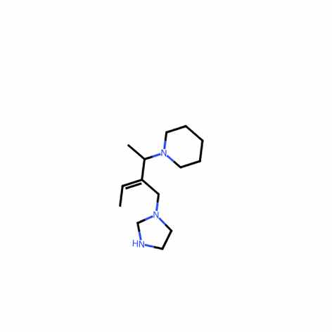 CC=C(CN1CCNC1)C(C)N1CCCCC1